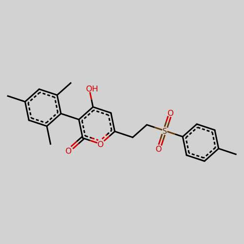 Cc1ccc(S(=O)(=O)CCc2cc(O)c(-c3c(C)cc(C)cc3C)c(=O)o2)cc1